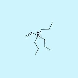 C=C[PH](CCC)(CCC)CCC